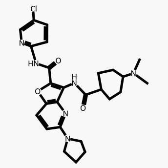 CN(C)C1CCC(C(=O)Nc2c(C(=O)Nc3ccc(Cl)cn3)oc3ccc(N4CCCC4)nc23)CC1